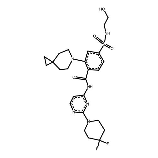 O=C(Nc1ccnc(N2CCC(F)(F)CC2)n1)c1ccc(S(=O)(=O)NCCO)cc1N1CCC2(CC1)CC2